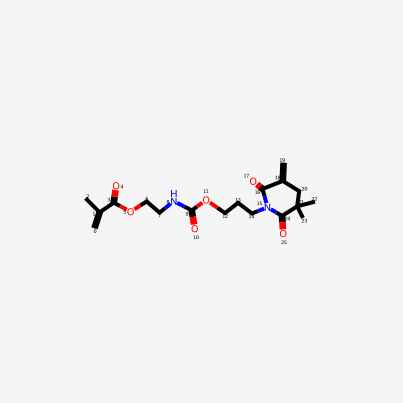 C=C(C)C(=O)OCCNC(=O)OCCCN1C(=O)C(=C)CC(C)(C)C1=O